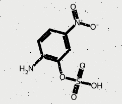 Nc1ccc([N+](=O)[O-])cc1OS(=O)(=O)O